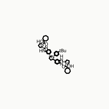 CC(C)(C)c1ccc(N2C(c3ccc4nc([C@@H]5CCCN5C(=O)C5(O)CCCCCC5)[nH]c4c3)CC[C@@H]2c2ccc3nc([C@@H]4CCCN4C(=O)C4(O)CCCCCC4)[nH]c3c2)cc1